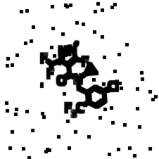 Cn1nc(C(F)F)c(C(=O)N(Cc2cc(Cl)ccc2C(F)(F)F)C2CC2)c1F